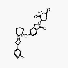 O=C1CCC(N2Cc3cc(O[C@@H]4CCCC[C@H]4N4CC(c5cccc(F)c5)C4)ccc3C2=O)C(=O)N1